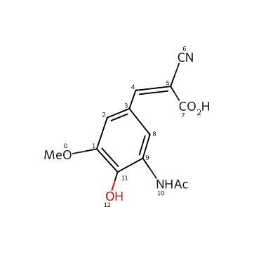 COc1cc(C=C(C#N)C(=O)O)cc(NC(C)=O)c1O